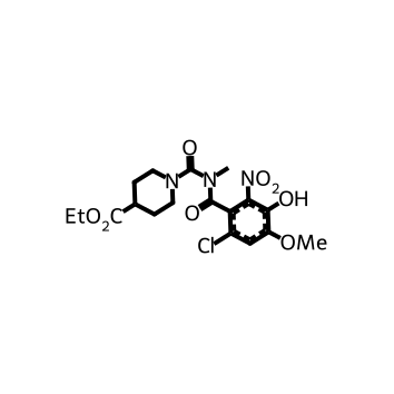 CCOC(=O)C1CCN(C(=O)N(C)C(=O)c2c(Cl)cc(OC)c(O)c2[N+](=O)[O-])CC1